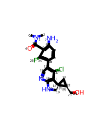 CN(C)C(=O)c1c(N)ccc(-c2cnc3c(c2Cl)[C@@]2(CN3)C[C@H]2CO)c1F